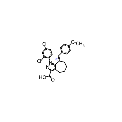 COc1ccc(/C=C2\CCCCc3c(C(=O)O)nn(-c4ccc(Cl)cc4Cl)c32)cc1